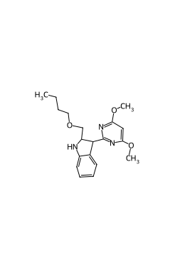 CCCCOCC1Nc2ccccc2C1c1nc(OC)cc(OC)n1